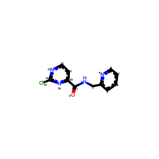 O=C(NCc1ccccn1)c1ccnc(Cl)n1